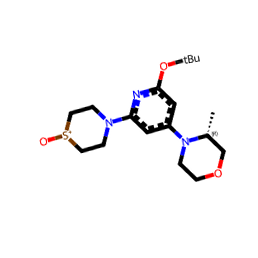 C[C@@H]1COCCN1c1cc(OC(C)(C)C)nc(N2CC[S+]([O-])CC2)c1